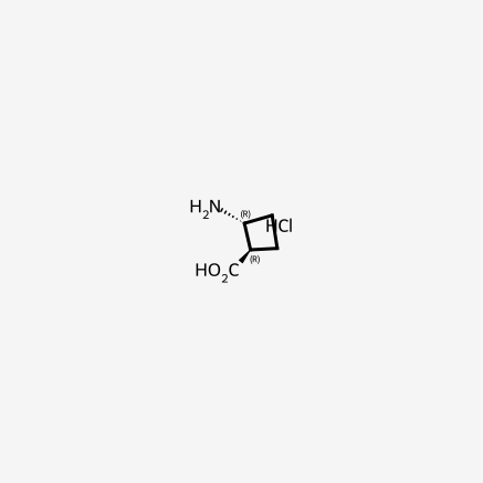 Cl.N[C@@H]1CC[C@H]1C(=O)O